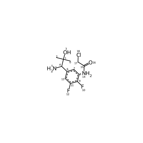 CC(C)(O)C(N)c1ccc(F)c(F)c1.NC(=O)CCl